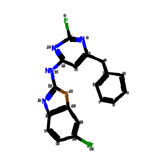 Fc1nc(Cc2ccccc2)cc(Nc2nc3ccc(Br)cc3s2)n1